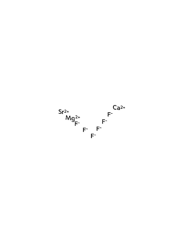 [Ca+2].[F-].[F-].[F-].[F-].[F-].[F-].[Mg+2].[Sr+2]